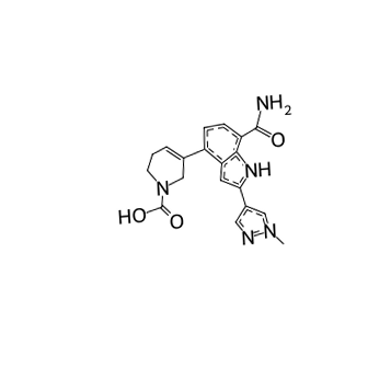 Cn1cc(-c2cc3c(C4=CCCN(C(=O)O)C4)ccc(C(N)=O)c3[nH]2)cn1